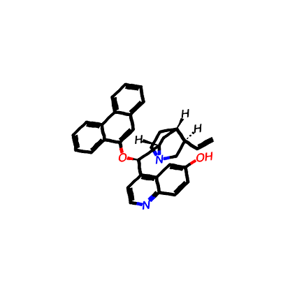 C=C[C@H]1CN2CC[C@H]1C[C@H]2[C@H](Oc1cc2ccccc2c2ccccc12)c1ccnc2ccc(O)cc12